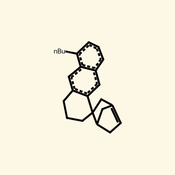 CCCCc1cccc2cc3c(cc12)CCCC31CC2=CCC1C2